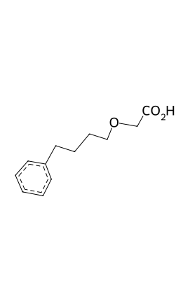 O=C(O)COCCCCc1ccccc1